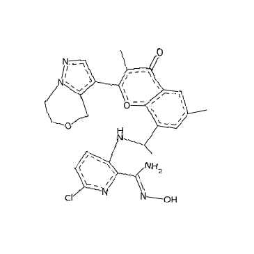 Cc1cc(C(C)Nc2ccc(Cl)nc2C(N)=NO)c2oc(-c3cnn4c3COCC4)c(C)c(=O)c2c1